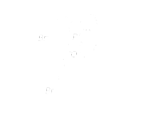 O=C(CCCCBr)C[P+](c1ccccc1)(c1ccccc1)c1ccccc1.[Br-]